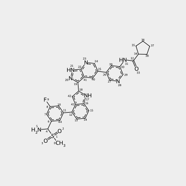 CS(=O)(=O)C(N)c1cc(F)cc(-c2cccc3[nH]c(-c4n[nH]c5ncc(-c6cncc(NC(=O)C7CCCC7)c6)cc45)cc23)c1